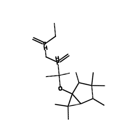 C=[PH](CC)C[PH](=C)C(C)(C)OC12C(C)C(C)(C)C(C)C1C2(C)C